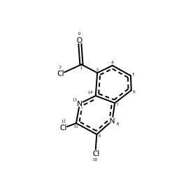 O=C(Cl)c1cccc2nc(Cl)c(Cl)nc12